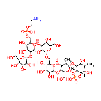 CC1[C@@H](OC2C(O)[C@H](C)C(O)[C@@H]3OP(=O)(O)O[C@@H]23)OC(CO)[C@@H](O[C@H]2OC(CO[C@H]3OC(CO)[C@@H](O)[C@H](O)C3O[C@H]3OC(COP(=O)(O)OCCN)[C@@H](O)[C@H](O)C3O[C@H]3OC(CO)[C@@H](O)[C@H](O)C3O)[C@@H](O)[C@H](O)C2O)[C@@H]1O